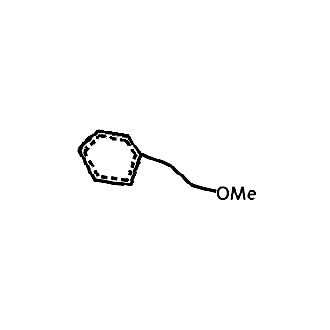 [CH]OCCc1ccccc1